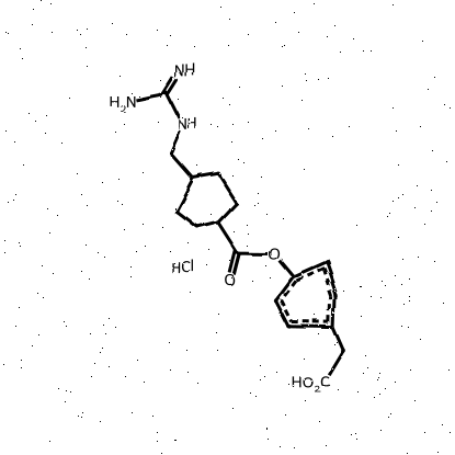 Cl.N=C(N)NCC1CCC(C(=O)Oc2ccc(CC(=O)O)cc2)CC1